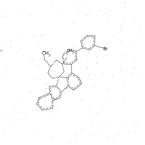 CCC1CCC2(CC(CC)C1)c1cc3ccccc3cc1-c1cccc(-c3cccc(-c4cccc(Br)c4)c3)c12